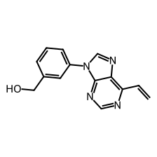 C=Cc1ncnc2c1ncn2-c1cccc(CO)c1